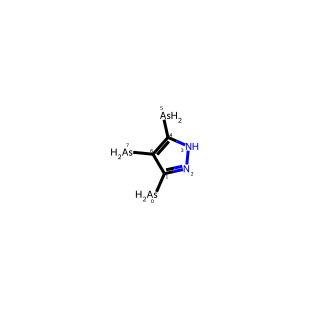 [AsH2]c1n[nH]c([AsH2])c1[AsH2]